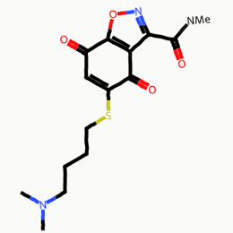 CNC(=O)c1noc2c1C(=O)C(SCCCCN(C)C)=CC2=O